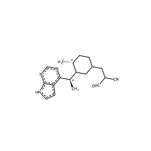 C[C@@H]1CCN(CC(C#N)C=O)CC1[C@@H](C)c1ncnc2[nH]ccc12